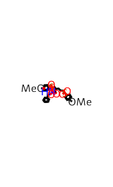 COc1ccc(S(=O)(=O)CCCC(CS(=O)(=O)c2ccc(OC)cc2)C(=O)NOCc2ccccc2)cc1